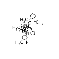 C=Cc1ccccc1C(C)OCC(CN1CCCC1Cc1ccc(C)c(F)c1)O[Si](C)(C)C(C)(C)C